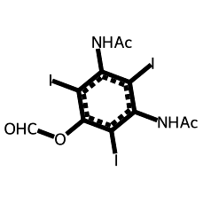 CC(=O)Nc1c(I)c(NC(C)=O)c(I)c(OC=O)c1I